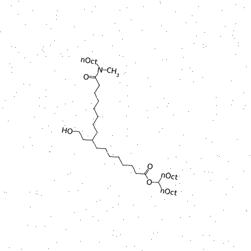 CCCCCCCCC(CCCCCCCC)OC(=O)CCCCCCCC(CCO)CCCCCCCC(=O)N(C)CCCCCCCC